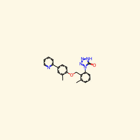 Cc1cc(-c2ccccn2)ccc1OCc1c(C)cccc1-n1nn[nH]c1=O